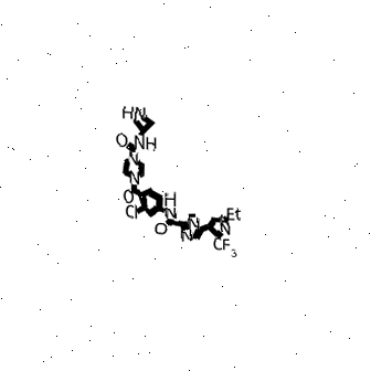 CCn1cc(-c2cnc(C(=O)Nc3ccc(C(=O)N4CCN(C(=O)NC5CNC5)CC4)c(Cl)c3)n2C)c(C(F)(F)F)n1